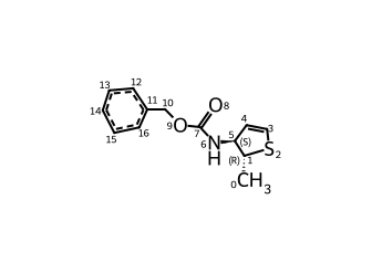 C[C@H]1SC=C[C@@H]1NC(=O)OCc1ccccc1